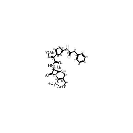 CON=C(C(=O)N[C@@H]1C(=O)N2C(C(=O)O)=C(COC(C)=O)CS[C@H]12)c1csc(NC(=O)Cc2ccccc2)n1